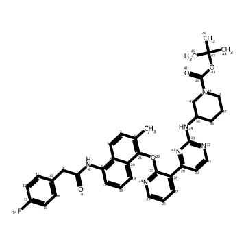 Cc1ccc2c(NC(=O)Cc3ccc(F)cc3)cccc2c1Oc1ncccc1-c1ccnc(NC2CCCN(C(=O)OC(C)(C)C)C2)n1